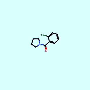 O=C(c1ccccc1Cl)N1CCCC1